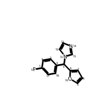 Fc1ccc(C(c2ccco2)n2ccnc2)cc1